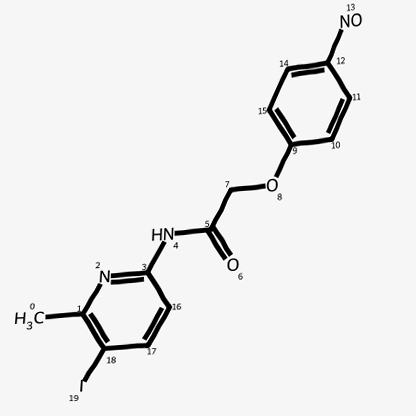 Cc1nc(NC(=O)COc2ccc(N=O)cc2)ccc1I